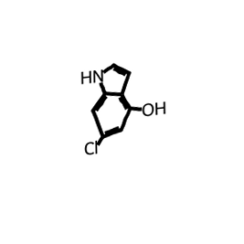 Oc1cc(Cl)cc2[nH]ccc12